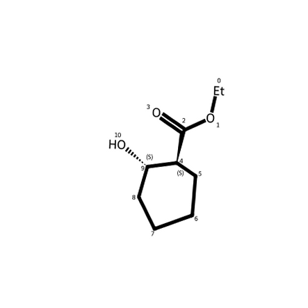 CCOC(=O)[C@H]1CCCC[C@@H]1O